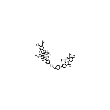 CC1(C)[C@H](NC(=O)c2ccc([C@H]3C[C@H](CN4CCN(c5ccc6c(c5)C(O)N(C5CCC(=O)NC5=O)C6=O)CC4)C3)cc2)C(C)(C)[C@H]1Oc1ccc(C#N)c(Cl)c1